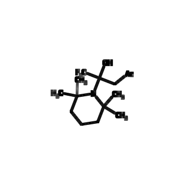 CC(=O)CC(O)(N1C(C)(C)CCCC1(C)C)C(F)(F)F